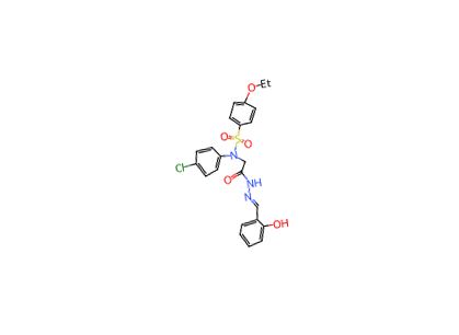 CCOc1ccc(S(=O)(=O)N(CC(=O)NN=Cc2ccccc2O)c2ccc(Cl)cc2)cc1